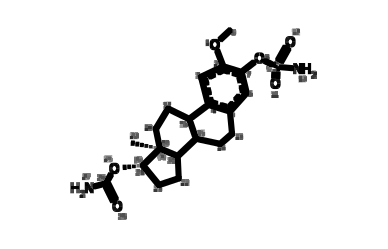 COc1cc2c(cc1OS(N)(=O)=O)CCC1C2CC[C@@]2(C)C1CC[C@@H]2OC(N)=O